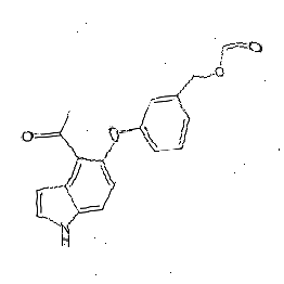 CC(=O)c1c(Oc2cccc(COC=O)c2)ccc2[nH]ccc12